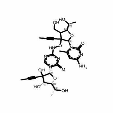 CC#CC1(ONc2ncn([C@@H]3O[C@H]([C@@H](C)O)[C@H](O)C3(O)C#CC)c(=O)n2)C(CO)[C@@H]([C@H](C)O)O[C@H]1n1c(C)cc(N)nc1=O